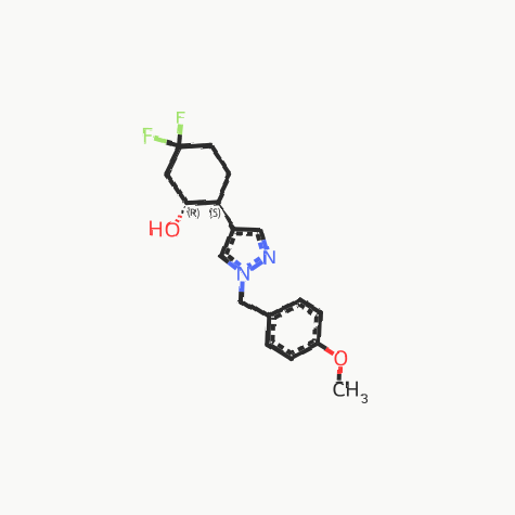 COc1ccc(Cn2cc([C@@H]3CCC(F)(F)C[C@H]3O)cn2)cc1